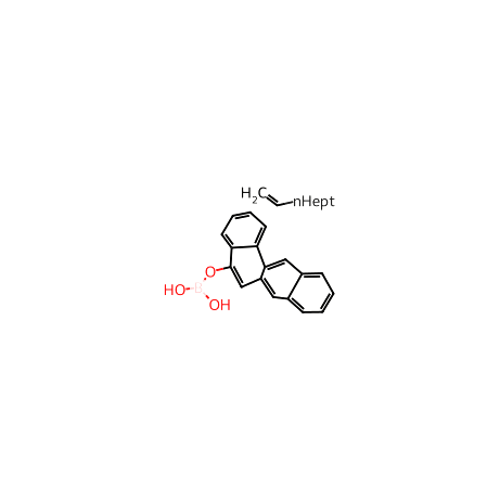 C=CCCCCCCC.OB(O)Oc1cc2cc3ccccc3cc2c2ccccc12